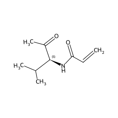 C=CC(=O)N[C@H](C(C)=O)C(C)C